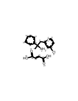 CC(N)(Cc1cccc(Cl)c1)c1ccccc1.O=C(O)C=CC(=O)O